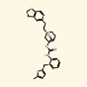 Cc1ccc(Cc2ccccc2NC(=O)OC2C[N+]3(CCc4ccc5c(c4)CCO5)CCC2CC3)s1